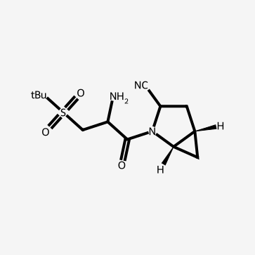 CC(C)(C)S(=O)(=O)CC(N)C(=O)N1C(C#N)C[C@@H]2C[C@@H]21